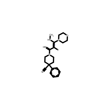 CN/C(=C(/F)C(=N)N1CCC(C#N)(c2ccccc2)CC1)N1CCOCC1